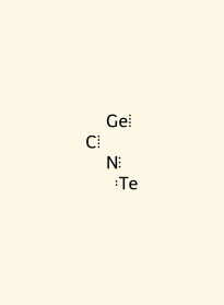 [C].[Ge].[N].[Te]